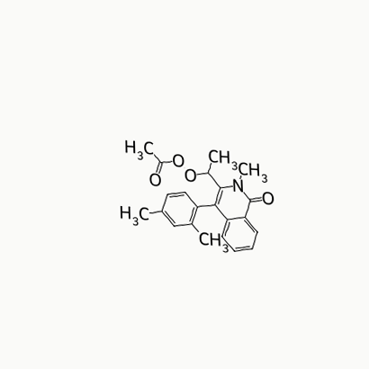 CC(=O)OOC(C)c1c(-c2ccc(C)cc2C)c2ccccc2c(=O)n1C